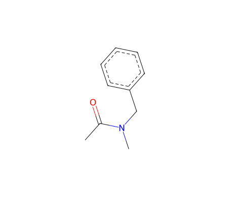 CC(=O)N(C)Cc1ccccc1